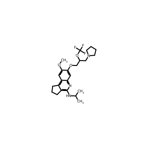 COc1cc2c3c(c(NC(C)C)nc2cc1OCC(CN1CCCC1)OC(F)(F)F)CCC3